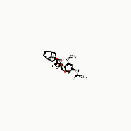 CCOC(=O)CN1C2CCC1CC(NC(=O)c1ccc(NC(C)=O)cc1OC)C2